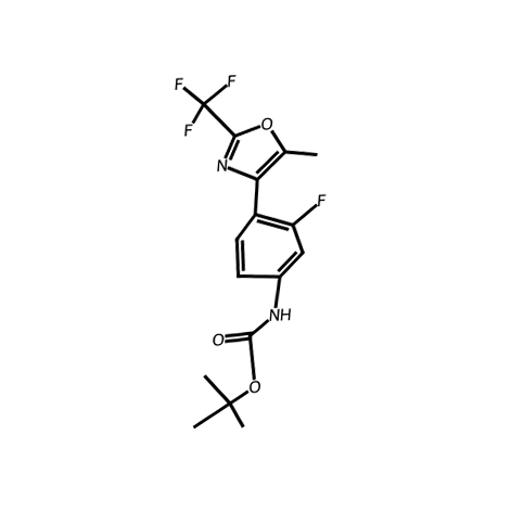 Cc1oc(C(F)(F)F)nc1-c1ccc(NC(=O)OC(C)(C)C)cc1F